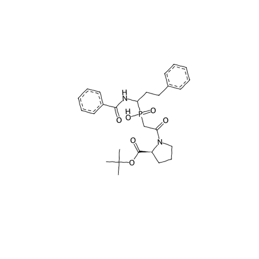 CC(C)(C)OC(=O)[C@@H]1CCCN1C(=O)CP(=O)(O)C(CCc1ccccc1)NC(=O)c1ccccc1